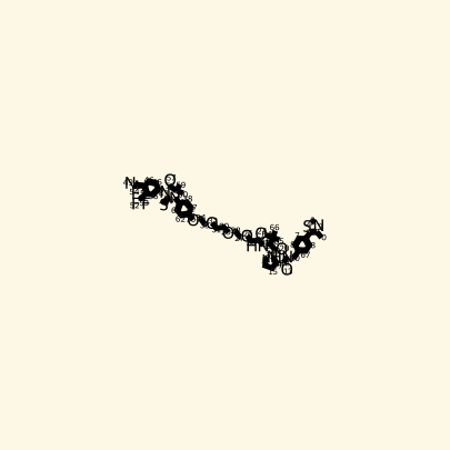 Cc1ncsc1-c1ccc(CNC(=O)[C@@H]2CCCN2C(=O)[C@@H](NC(=O)COCCOCCOCCOc2ccc(N3C(=S)N(c4ccc(C#N)c(C(F)(F)F)c4)C(=O)C3(C)C)cc2)C(C)(C)C)cc1